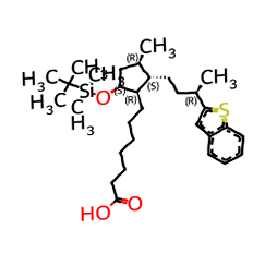 C[C@H](CC[C@@H]1[C@@H](CCCCCCC(=O)O)[C@@H](O[Si](C)(C)C(C)(C)C)C[C@H]1C)c1cc2ccccc2s1